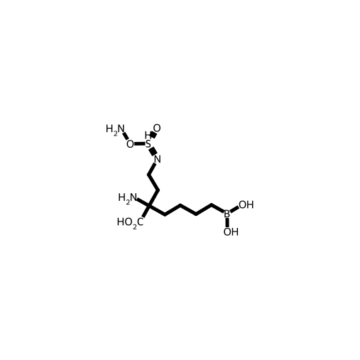 NO[SH](=O)=NCCC(N)(CCCCB(O)O)C(=O)O